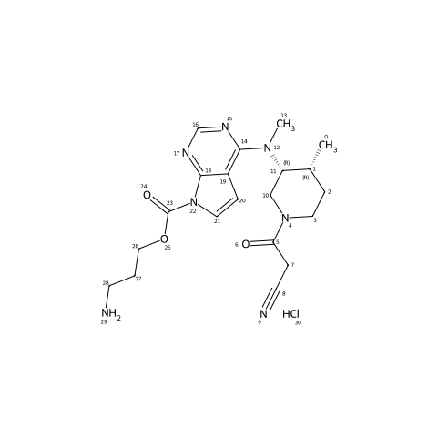 C[C@@H]1CCN(C(=O)CC#N)C[C@@H]1N(C)c1ncnc2c1ccn2C(=O)OCCCN.Cl